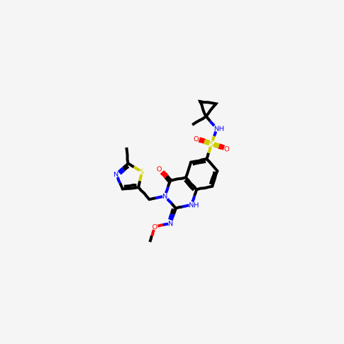 CON=c1[nH]c2ccc(S(=O)(=O)NC3(C)CC3)cc2c(=O)n1Cc1cnc(C)s1